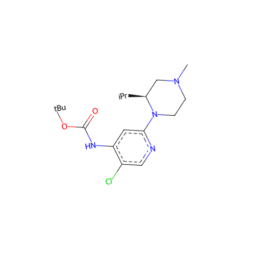 CC(C)[C@H]1CN(C)CCN1c1cc(NC(=O)OC(C)(C)C)c(Cl)cn1